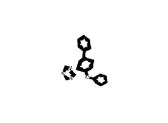 c1ccc(Oc2ccc(-c3ccccc3)cc2)cc1.c1ncncn1